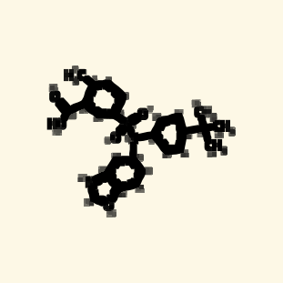 Cc1ccc(S(=O)(=O)N(c2ccc(C(C)(C)C)cc2)c2ccc3ocnc3c2)cc1C(=O)O